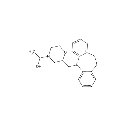 CC(O)N1CCOC(CN2c3ccccc3CCc3ccccc32)C1